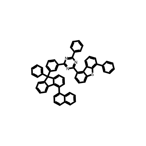 c1ccc(-c2nc(-c3cccc(C4(c5ccccc5)c5ccccc5-c5c(-c6cccc7ccccc67)cccc54)c3)nc(-c3cccc4sc5c(-c6ccccc6)cccc5c34)n2)cc1